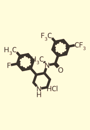 Cc1ccc(C2CNCCC2N(C)C(=O)c2cc(C(F)(F)F)cc(C(F)(F)F)c2)cc1F.Cl